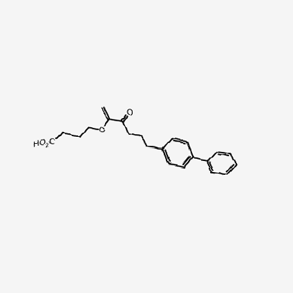 C=C(OCCCC(=O)O)C(=O)CCCc1ccc(-c2ccccc2)cc1